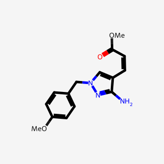 COC(=O)/C=C\c1cn(Cc2ccc(OC)cc2)nc1N